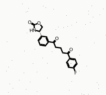 O=C1N[C@@H](c2cccc(C(=O)CCCC(=O)c3ccc(F)cc3)c2)CO1